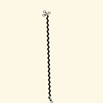 O=C=NCCCCCCCCCCCCCCCCCCCCCCCCCCCCCCCCCCCCC[Si](Cl)(Cl)Cl